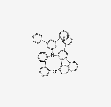 c1ccc(-c2cc(-c3ccccc3)cc(N3c4ccccc4-c4ccccc4Oc4ccccc4-c4c(-c5ccccc5)cc(-c5ccccc5)cc43)c2)cc1